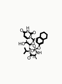 CC(C)SC(=O)[C@H](C)N[P@](=O)(OC[C@@H](O[C@H](C)n1ccc(=O)[nH]c1=O)[C@H](C)O)Oc1ccc2c(c1)CCCC2